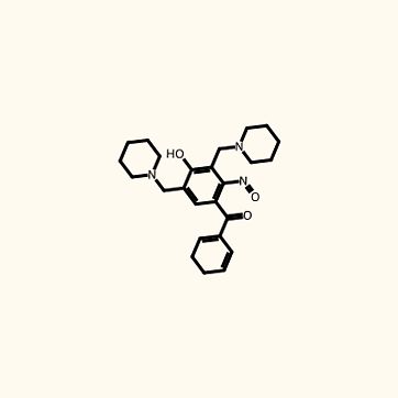 O=Nc1c(C(=O)C2=CCCC=C2)cc(CN2CCCCC2)c(O)c1CN1CCCCC1